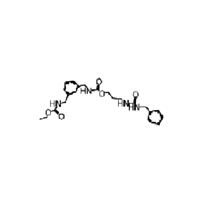 CCOC(=O)NCc1cccc(CNC(=O)OCCCNC(=O)NCc2ccccc2)c1